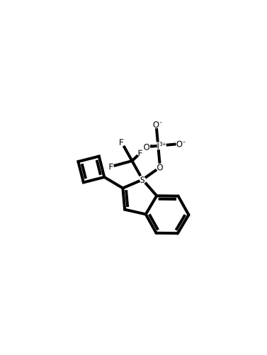 [O-][I+3]([O-])([O-])OS1(C(F)(F)F)C(C2=CC=C2)=Cc2ccccc21